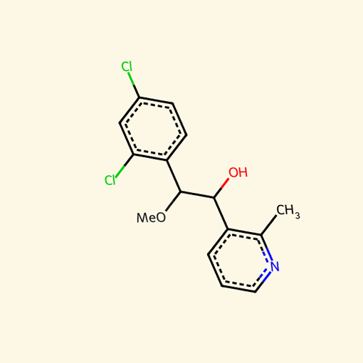 COC(c1ccc(Cl)cc1Cl)C(O)c1cccnc1C